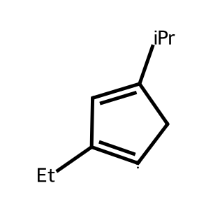 CCC1=[C]CC(C(C)C)=C1